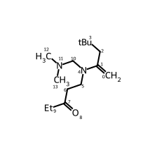 C=C(CC(C)(C)C)N(CCC(=O)CC)CN(C)C